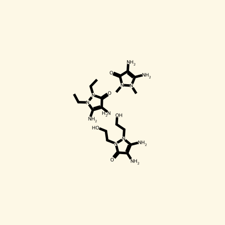 CCn1c(N)c(N)c(=O)n1CC.Cn1c(N)c(N)c(=O)n1C.Nc1c(N)n(CCO)n(CCO)c1=O